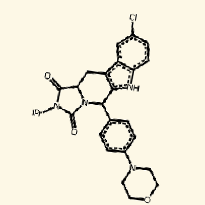 CC(C)N1C(=O)C2Cc3c([nH]c4ccc(Cl)cc34)C(c3ccc(N4CCOCC4)cc3)N2C1=O